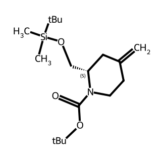 C=C1CCN(C(=O)OC(C)(C)C)[C@H](CO[Si](C)(C)C(C)(C)C)C1